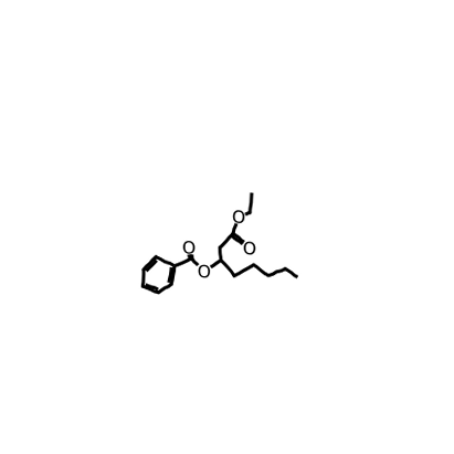 CCCCCC(CC(=O)OCC)OC(=O)c1ccccc1